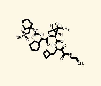 C=CCNC(=O)C(=O)C(CC1CCC1)NC(=O)[C@@H]1[C@@H]2[C@H](CN1C(=O)[C@@H](NC(=O)NC1(CS(=O)(=O)C(C)(C)C)CCCCC1)C1CCCCC1)C2(C)C